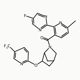 Cc1ccc(C(=O)N2CC3CC(Oc4ccc(C(F)(F)F)cn4)C2C3)c(-c2ncc(F)cn2)n1